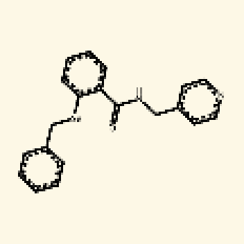 O=C(NCc1ccncc1)c1ccccc1[Se]Cc1ccccc1